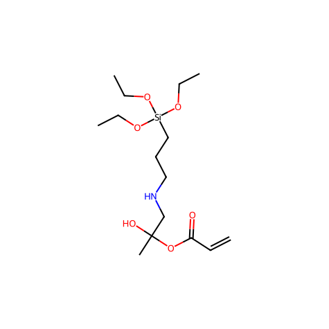 C=CC(=O)OC(C)(O)CNCCC[Si](OCC)(OCC)OCC